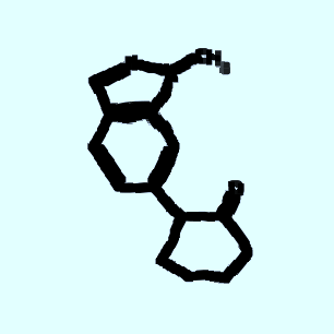 Cn1ncc2ccc(C3CCCCC3=O)cc21